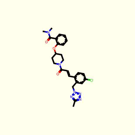 Cc1nnn(Cc2cc(Cl)ccc2C=CC(=O)N2CCC(Oc3ccccc3C(=O)N(C)C)CC2)n1